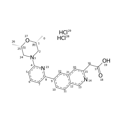 C[C@@H]1CN(c2cccc(-c3ccc4cnc(CC(=O)O)cc4c3)n2)C[C@H](C)O1.Cl.Cl